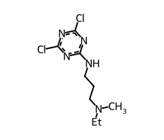 CCN(C)CCCNc1nc(Cl)nc(Cl)n1